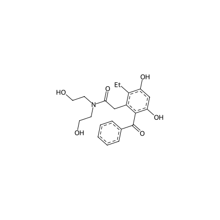 CCc1c(O)cc(O)c(C(=O)c2ccccc2)c1CC(=O)N(CCO)CCO